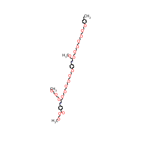 C=Cc1ccc(OCCOCCOCCOCCOCCOCCOC(/C=C/c2ccc(OCCOCCOCCOCCOCCOCC(/C=C/c3ccc(C(=O)OCCOC)cc3)OCCOCCOC)cc2)COC)cc1